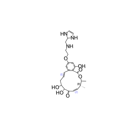 CC1OC(=O)c2c(O)cc(OCCNCC3NC=CN3)cc2/C=C/CC(O)C(O)C(=O)/C=C\[C@H]1C